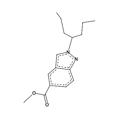 CCCC(CCC)n1cc2cc(C(=O)OC)ccc2n1